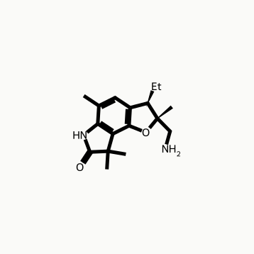 CC[C@@H]1c2cc(C)c3c(c2O[C@@]1(C)CN)C(C)(C)C(=O)N3